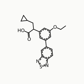 CCOc1cc(-c2ccc3nsnc3c2)cc(C(CC2CC2)C(=O)O)c1